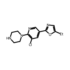 CCc1cnc(-c2cnc(N3CCNCC3)c(Cl)c2)o1